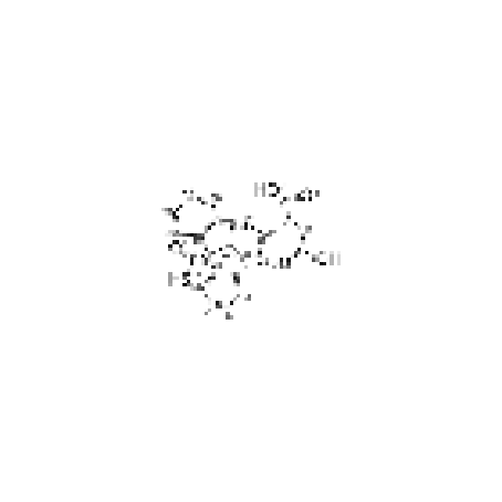 O=C(O)CCC(=O)O.O=C(S)C(c1ccccc1)(c1ccccc1)c1ccccc1